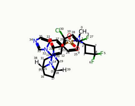 CN(C1CC(F)(F)C1)S(=O)(=O)c1cc(N2[C@@H]3CC[C@H]2CN(C(=O)c2ccc(F)cc2Cl)C3)n2cncc2c1